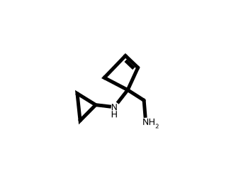 NCC1(NC2CC2)C=CC1